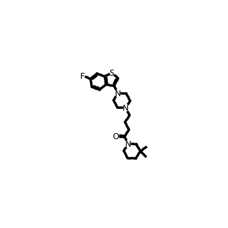 CC1(C)CCCN(C(=O)CCCN2CCN(c3csc4cc(F)ccc34)CC2)C1